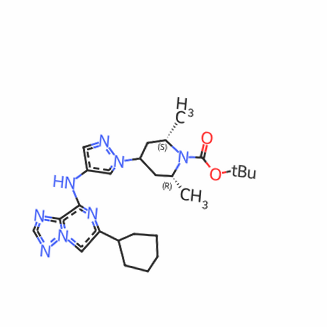 C[C@@H]1CC(n2cc(Nc3nc(C4CCCCC4)cn4ncnc34)cn2)C[C@H](C)N1C(=O)OC(C)(C)C